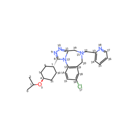 CC(C)O[C@H]1CC[C@H](c2nnc3n2-c2ccc(Cl)cc2CN(Cc2ccccn2)C3)CC1